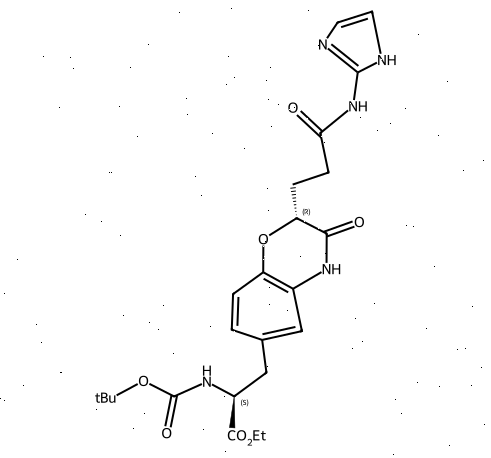 CCOC(=O)[C@H](Cc1ccc2c(c1)NC(=O)[C@@H](CCC(=O)Nc1ncc[nH]1)O2)NC(=O)OC(C)(C)C